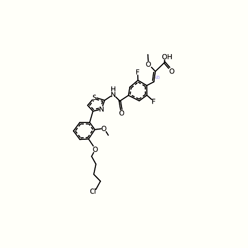 CO/C(=C\c1c(F)cc(C(=O)Nc2nc(-c3cccc(OCCCCCl)c3OC)cs2)cc1F)C(=O)O